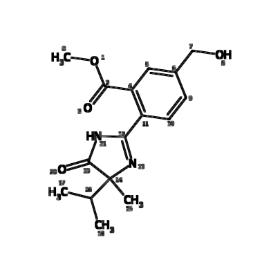 COC(=O)c1cc(CO)ccc1C1=NC(C)(C(C)C)C(=O)N1